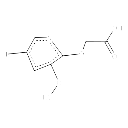 COc1cc(I)cnc1OCC(=O)O